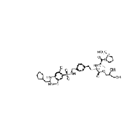 C[C@H](N[C@@H](CCc1ccc(CNS(=O)(=O)c2cc3c(cc2Cl)NC(CC2CCCC2)NS3)cc1)C(=O)OCC(O)CO)C(=O)N1CCC[C@H]1C(=O)O